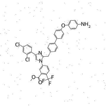 COC(=O)c1cc(-n2cc(-c3ccc(Cl)cc3Cl)nc2Cc2ccc(-c3ccc(Oc4ccc(N)cc4)cc3)cc2)ccc1C(F)(F)F